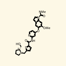 CNC(=O)n1ccc2cc(Oc3ccnc(NC(=O)c4ccc(CN5CCC[C@@H]5CO)s4)c3)c(OC)cc21